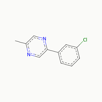 Cc1cnc(-c2cccc(Cl)c2)cn1